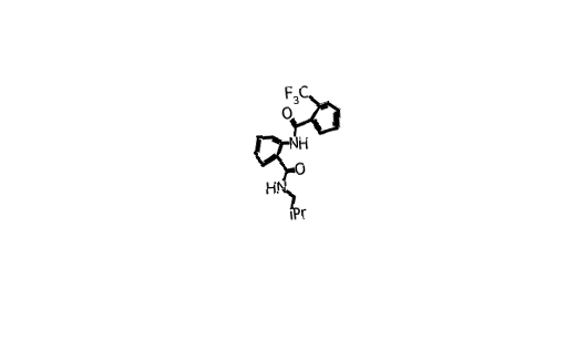 CC(C)CNC(=O)c1ccccc1NC(=O)c1ccccc1C(F)(F)F